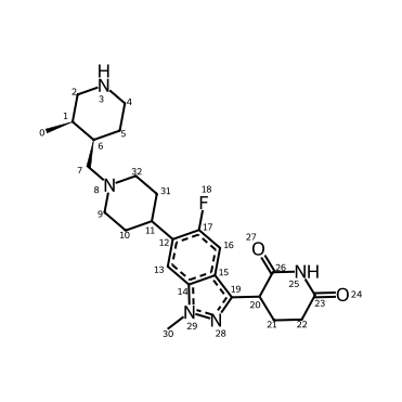 C[C@H]1CNCC[C@H]1CN1CCC(c2cc3c(cc2F)c(C2CCC(=O)NC2=O)nn3C)CC1